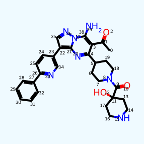 CC(=O)c1c(C2CCN(C(=O)C3(O)CCNCC3)CC2)nc2c(-c3ccc(-c4ccccc4)nc3)cnn2c1N